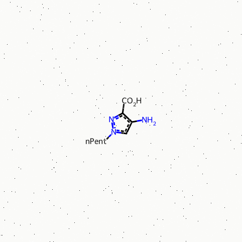 CCCCCn1cc(N)c(C(=O)O)n1